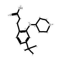 CC(C)(C)c1ccc(CCC(=O)O)c(OC2CCOCC2)c1